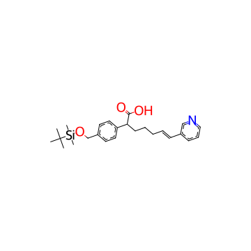 CC(C)(C)[Si](C)(C)OCc1ccc(C(CCCC=Cc2cccnc2)C(=O)O)cc1